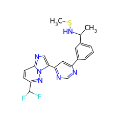 CSNC(C)c1cccc(-c2cc(-c3cnc4ccc(C(F)F)nn34)ncn2)c1